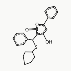 O=c1oc(-c2ccccc2)cc(O)c1C(SC1CCCCC1)c1ccccc1